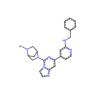 CC(C)N1CC2CC1CN2c1nc(-c2ccnc(NCc3ccccc3)c2)cc2nccn12